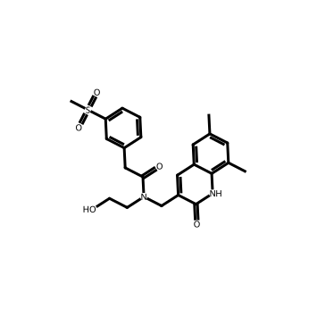 Cc1cc(C)c2[nH]c(=O)c(CN(CCO)C(=O)Cc3cccc(S(C)(=O)=O)c3)cc2c1